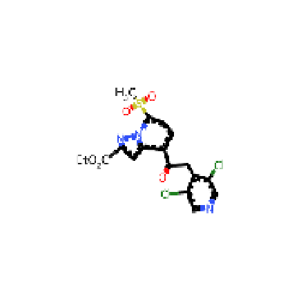 CCOC(=O)c1cc2c(C(=O)Cc3c(Cl)cncc3Cl)ccc(S(C)(=O)=O)n2n1